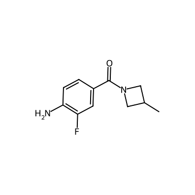 CC1CN(C(=O)c2ccc(N)c(F)c2)C1